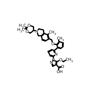 CCOc1c(C(=O)O)cnn1-c1cccc(-c2cccc(C)c2OCc2ccc3c(c2C)CCN(C2COC(C)(C)OC2)C3)n1